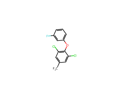 Fc1cccc(Oc2c(Cl)cc(C(F)(F)F)cc2Cl)c1